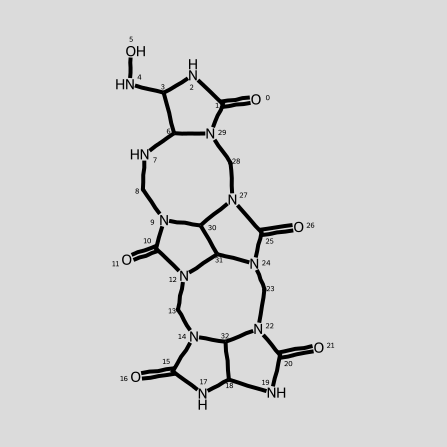 O=C1NC(NO)C2NCN3C(=O)N4CN5C(=O)NC6NC(=O)N(CN7C(=O)N(CN12)C3C47)C65